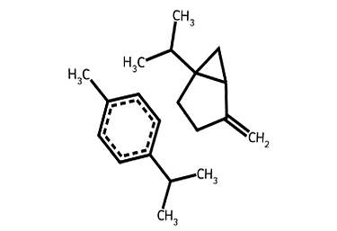 C=C1CCC2(C(C)C)CC12.Cc1ccc(C(C)C)cc1